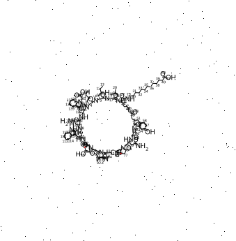 CCCC[C@H]1C(=O)N(C)[C@@H](CCCC)C(=O)N[C@@H](CC(C)C)C(=O)N[C@H](C(=O)NCCCCCCCCCCCCC(=O)O)CSCC(=O)C[C@@H](Cc2ccc(O)cc2)C(=O)N(C)[C@@H](C)C(=O)N[C@@H](CC(N)=O)C(=O)N2CCC[C@H]2C(=O)C[C@@H](CN)C(=O)N[C@@H](CC(C)C)C(=O)N2C[C@H](O)C[C@H]2C(=O)N[C@@H](Cc2c[nH]c3ccccc23)C(=O)N[C@@H](CCN)C(=O)N[C@@H](Cc2cn(CC(=O)O)c3ccccc23)C(=O)N1C